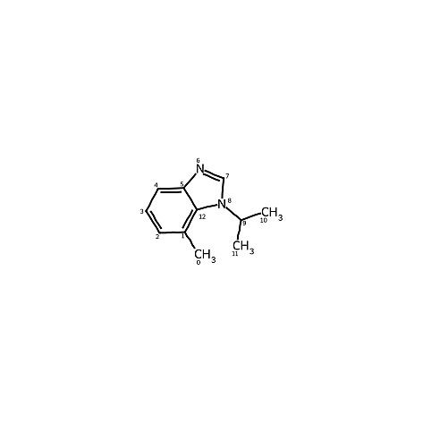 Cc1cccc2ncn(C(C)C)c12